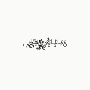 CC(C)(COP(=O)(O)OP(=O)(O)OC[C@H]1O[C@@H](n2cnc3c(N)ncnc32)[C@H](O)[C@@H]1OP(=O)(O)O)[C@@H](O)C(=O)NCCC(=O)NCCSC(=O)C1CCCCC1=O